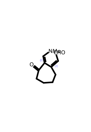 CN/C=C1/C(=O)CCCC/C1=C/C=O